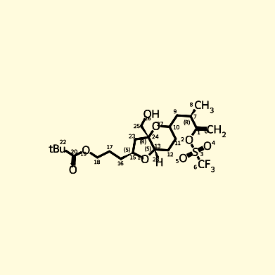 C=C(OS(=O)(=O)C(F)(F)F)[C@H](C)CC1CC[C@@H]2O[C@@H](CCCOC(=O)C(C)(C)C)C[C@]2(CO)O1